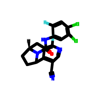 N#Cc1cnc(F)c2c1C1CC[C@@H](C2)N1C(=O)Nc1cc(Cl)c(Cl)cc1F